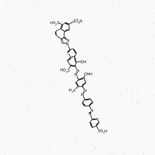 COc1cc(N=Nc2ccc(N=Nc3ccc(S(=O)(=O)O)cc3)cc2)c(C)cc1N=Nc1c(S(=O)(=O)O)cc2cc(-n3nc4ccc5c(S(=O)(=O)O)cc(S(=O)(=O)O)cc5c4n3)ccc2c1O